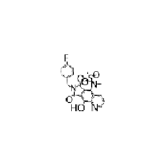 CN(c1c2c(c(O)c3ncccc13)C(=O)N(Cc1ccc(F)cc1)C2=O)S(C)(=O)=O